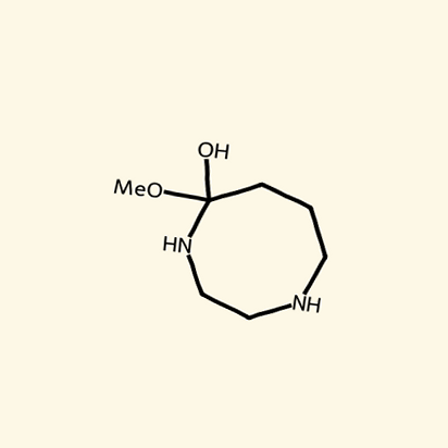 COC1(O)CCCNCCN1